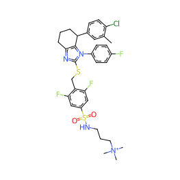 Cc1cc(C2CCCc3nc(SCc4c(F)cc(S(=O)(=O)NCCC[N+](C)(C)C)cc4F)n(-c4ccc(F)cc4)c32)ccc1Cl